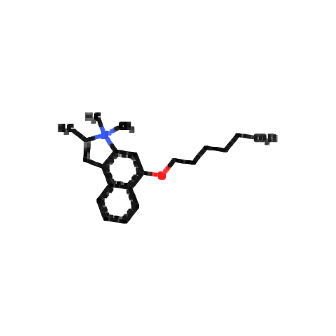 CCOC(=O)CCCCCOc1cc2c(c3ccccc13)C=C(C)[N+]2(C)C